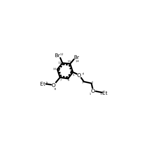 CCOCCOc1cc(OCC)cc(Br)c1Br